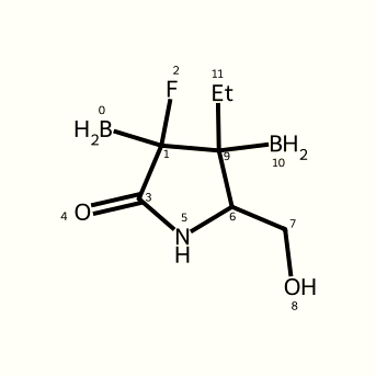 BC1(F)C(=O)NC(CO)C1(B)CC